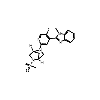 C=S(C)(=O)N1C[C@H]2C[C@@H]1CN2c1cc(-c2nc3ccccc3n2C)c(Cl)cn1